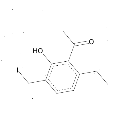 CCc1ccc(CI)c(O)c1C(C)=O